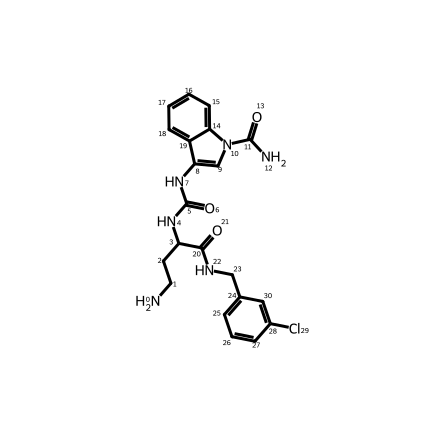 NCCC(NC(=O)Nc1cn(C(N)=O)c2ccccc12)C(=O)NCc1cccc(Cl)c1